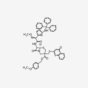 CON=C(C(=O)NC1C(=O)N2CC(CSc3cc(=O)c4ccccc4s3)(C(=O)OCc3ccc(OC)cc3)CS[C@H]12)c1csc(NC(c2ccccc2)(c2ccccc2)c2ccccc2)n1